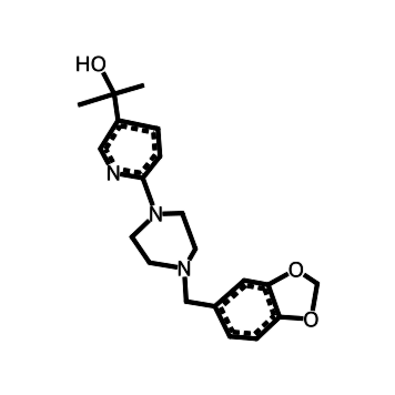 CC(C)(O)c1ccc(N2CCN(Cc3ccc4c(c3)OCO4)CC2)nc1